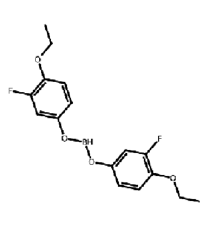 CCOc1ccc(OBOc2ccc(OCC)c(F)c2)cc1F